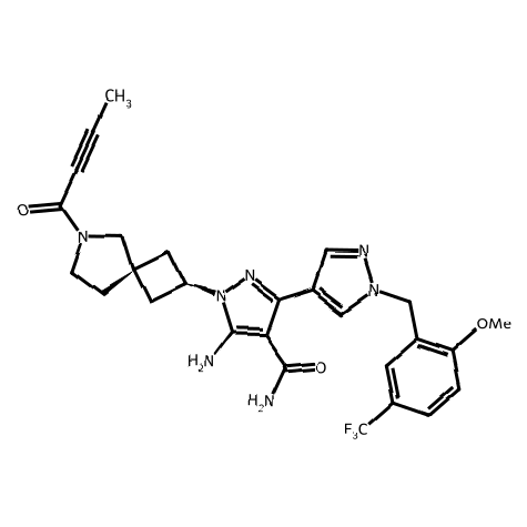 CC#CC(=O)N1CC[C@]2(C1)C[C@H](n1nc(-c3cnn(Cc4cc(C(F)(F)F)ccc4OC)c3)c(C(N)=O)c1N)C2